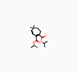 CC(C)OC(=O)C1=C(C(=O)OC(C)C)CCC(C)(C)C=C1